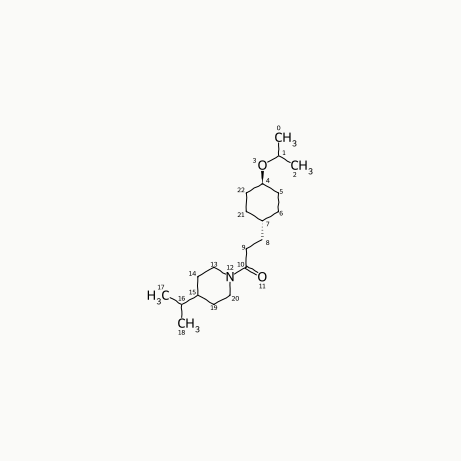 CC(C)O[C@H]1CC[C@H](CCC(=O)N2CCC(C(C)C)CC2)CC1